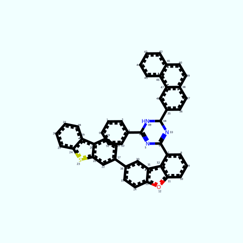 c1ccc(C2=NC(c3cccc4oc5ccc(-c6ccc7c(c6)sc6ccccc67)cc5c34)=NC(c3ccc4ccc5ccccc5c4c3)N2)cc1